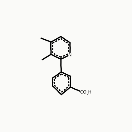 Cc1ccnc(-c2cccc(C(=O)O)c2)c1C